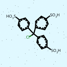 O=S(=O)(O)c1ccc(C(Cl)(c2ccc(S(=O)(=O)O)cc2)c2ccc(S(=O)(=O)O)cc2)cc1